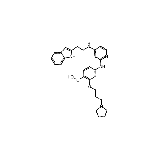 OOc1ccc(Nc2nccc(NCCc3cc4ccccc4[nH]3)n2)cc1OCCCN1CCCC1